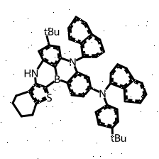 CC(C)(C)c1ccc(N(c2ccc3c(c2)N(c2cccc4ccccc24)c2cc(C(C)(C)C)cc4c2B3c2sc3c(c2N4)CCCC3)c2cccc3ccccc23)cc1